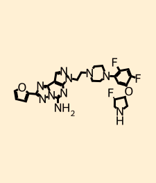 Nc1nc2c(cnn2CCN2CCN(c3cc(O[C@@H]4CNC[C@@H]4F)c(F)cc3F)CC2)c2nc(-c3ccco3)nn12